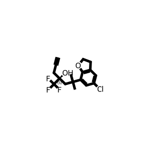 C#CC[C@](O)(CC(C)(C)c1cc(Cl)cc2c1OCC2)C(F)(F)F